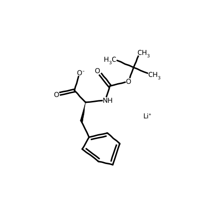 CC(C)(C)OC(=O)N[C@@H](Cc1ccccc1)C(=O)[O-].[Li+]